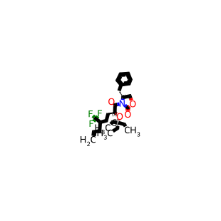 C=CCC(CC[C@H](O[Si](CC)(CC)CC)C(=O)N1C(=O)OC[C@H]1Cc1ccccc1)C(F)(F)F